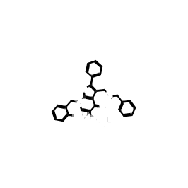 CCOC(=O)c1cn(Cc2ccccc2OC)c2sc(-c3ccccc3)c(CNCc3ccccc3)c2c1=O